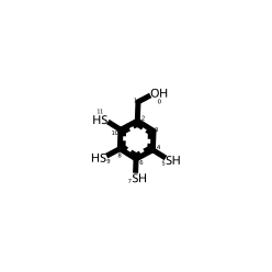 OCc1cc(S)c(S)c(S)c1S